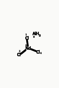 [AlH3].[Cl][Nd]([Cl])[Cl]